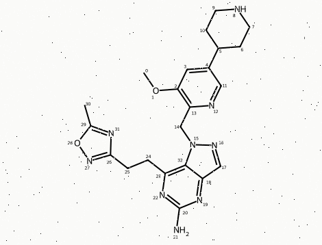 COc1cc(C2CCNCC2)cnc1Cn1ncc2nc(N)nc(CCc3noc(C)n3)c21